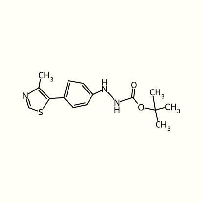 Cc1ncsc1-c1ccc(NNC(=O)OC(C)(C)C)cc1